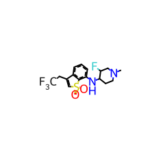 CN1CCC(Nc2cccc3c2S(=O)(=O)C=C3CC(F)(F)F)C(F)C1